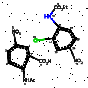 CC(=O)Nc1ccc([N+](=O)[O-])cc1C(=O)O.CCOC(=O)Nc1ccc([N+](=O)[O-])cc1Cl